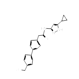 O=C(Cc1ccc(-c2ccc(CO)cc2)cc1)Nc1cc(C2CC2)[nH]n1